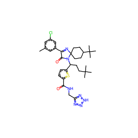 Cc1cc(Cl)cc(C2=NC3(CCC(C(C)(C)C)CC3)N(C(CCC(C)(C)C)c3ccc(C(=O)NCc4nn[nH]n4)s3)C2=O)c1